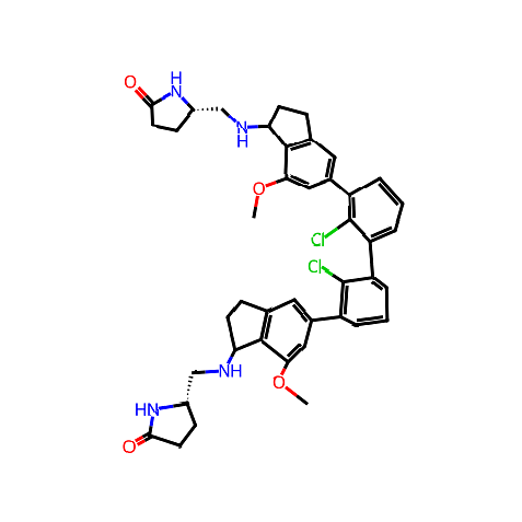 COc1cc(-c2cccc(-c3cccc(-c4cc5c(c(OC)c4)C(NC[C@@H]4CCC(=O)N4)CC5)c3Cl)c2Cl)cc2c1C(NC[C@@H]1CCC(=O)N1)CC2